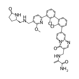 C=C(NCc1cnc2cc(-c3cccc(-c4cccc(-c5ccc(CNC[C@H]6CCC(=O)N6)c(OC)n5)c4Cl)c3Cl)ccn2c1=O)C(N)=O